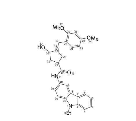 CCn1c2ccccc2c2cc(NC(=O)C3CC(O)N(Cc4ccc(OC)cc4OC)C3)ccc21